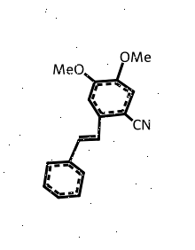 COc1cc(C#N)c(/C=C/c2ccccc2)cc1OC